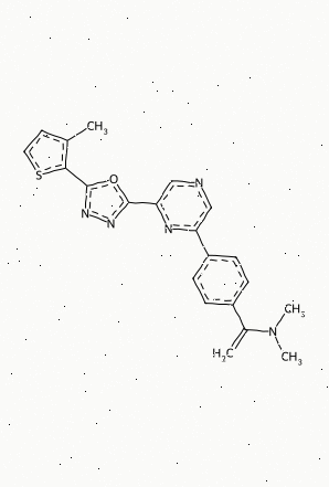 C=C(c1ccc(-c2cncc(-c3nnc(-c4sccc4C)o3)n2)cc1)N(C)C